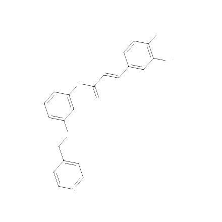 CC(=O)Oc1cc(/C=C/C(=O)Nc2cccc(SCc3ccncc3)c2)ccc1F